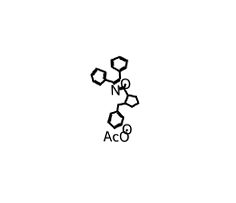 CC(=O)OOc1cccc(CC2CCCC2c2nc(-c3ccccc3)c(-c3ccccc3)o2)c1